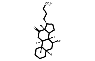 C[C@]12CCCC[C@H]1C[C@H](O)[C@H]1C3CC[C@H](CCCC(=O)O)[C@@]3(C)C(=O)C[C@@H]12